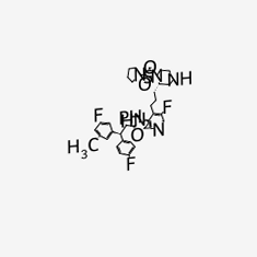 Cc1cc(F)cc([C@H](c2ccc(F)cc2)[C@H](P)C(=O)Nc2cncc(F)c2CCC[C@H]2CNCCN2S(=O)(=O)N2CCCC2)c1